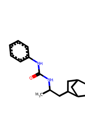 CC(CC1CC2CCC1C2)NC(=O)Nc1ccccc1